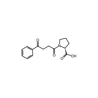 O=C(CCC(=O)N1CCC[C@H]1C(=O)O)c1ccccc1